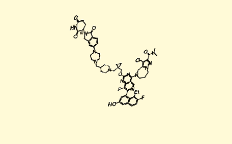 CCc1c(F)ccc2cc(O)cc(-c3ncc4c(N5CCCn6nc(C(=O)N(C)C)c(Cl)c6C5)nc(OCC5(CN6CCC(CN7CCN(c8ccc9c(c8)CN([C@H]8CCC(=O)NC8=O)C9=O)CC7)CC6)CC5)nc4c3F)c12